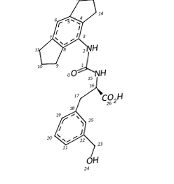 O=C(Nc1c2c(cc3c1CCC3)CCC2)N[C@H](Cc1cccc(CO)c1)C(=O)O